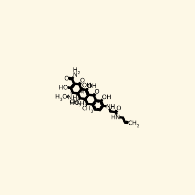 C=CCNC(=O)CNc1ccc2c(c1O)C(=O)C1=C(O)[C@@]3(O)C(=O)C(C(N)=O)=C(O)[C@@H](N(C)C)[C@H]3[C@H](O)[C@H]1[C@@H]2C